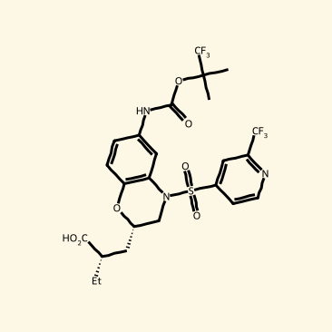 CC[C@@H](C[C@H]1CN(S(=O)(=O)c2ccnc(C(F)(F)F)c2)c2cc(NC(=O)OC(C)(C)C(F)(F)F)ccc2O1)C(=O)O